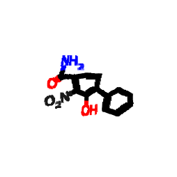 NC(=O)c1ccc(-c2ccccc2)c(O)c1[N+](=O)[O-]